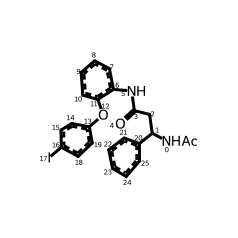 CC(=O)NC(CC(=O)Nc1ccccc1Oc1ccc(I)cc1)c1ccccc1